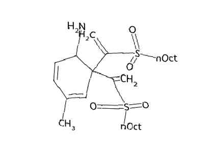 C=C(C1(C(=C)S(=O)(=O)CCCCCCCC)C=C(C)C=CC1N)S(=O)(=O)CCCCCCCC